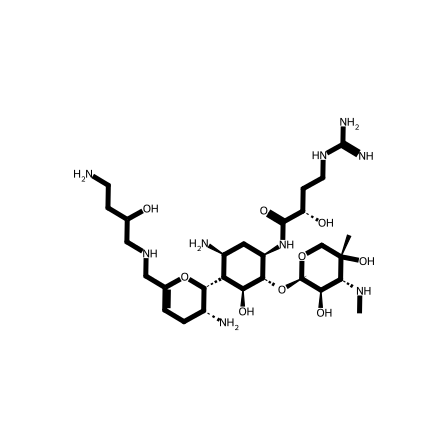 CN[C@@H]1[C@@H](O)[C@@H](O[C@H]2[C@H](NC(=O)[C@@H](O)CCNC(=N)N)C[C@H](N)C([C@H]3OC(CNCC(O)CCN)=CC[C@H]3N)[C@@H]2O)OC[C@]1(C)O